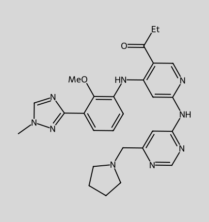 CCC(=O)c1cnc(Nc2cc(CN3CCCC3)ncn2)cc1Nc1cccc(-c2ncn(C)n2)c1OC